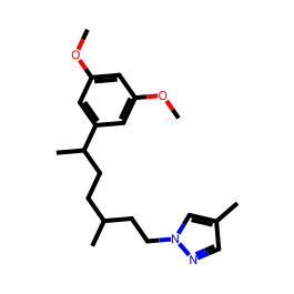 COc1cc(OC)cc(C(C)CCC(C)CCn2cc(C)cn2)c1